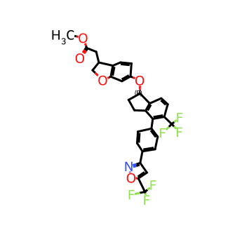 COC(=O)CC1COc2cc(O[C@@H]3CCc4c3ccc(C(F)(F)F)c4-c3ccc(-c4cc(C(F)(F)F)on4)cc3)ccc21